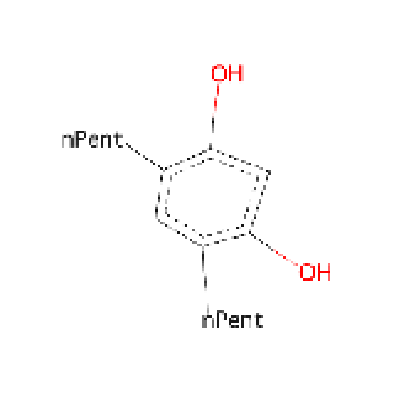 CCCCCc1cc(CCCCC)c(O)cc1O